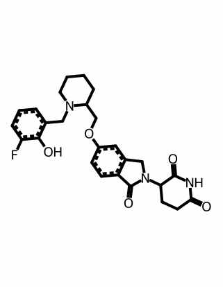 O=C1CCC(N2Cc3cc(OCC4CCCCN4Cc4cccc(F)c4O)ccc3C2=O)C(=O)N1